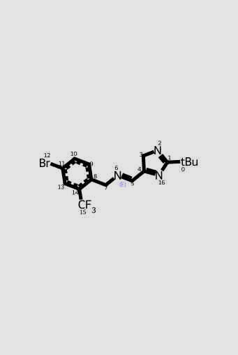 CC(C)(C)C1=NCC(/C=N/Cc2ccc(Br)cc2C(F)(F)F)=N1